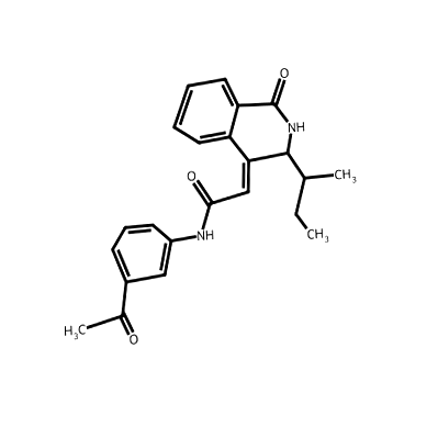 CCC(C)C1NC(=O)c2ccccc2/C1=C\C(=O)Nc1cccc(C(C)=O)c1